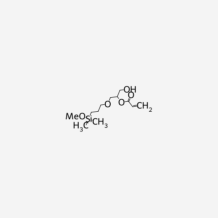 C=CC(=O)OC(CO)COCCC[Si](C)(C)OC